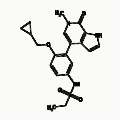 CCS(=O)(=O)Nc1ccc(OCC2CC2)c(-c2cn(C)c(=O)c3[nH]ccc23)c1